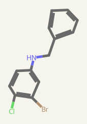 Clc1ccc(NCc2ccccc2)cc1Br